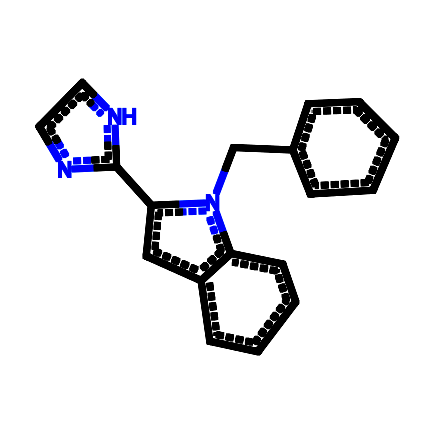 c1ccc(Cn2c(-c3ncc[nH]3)cc3ccccc32)cc1